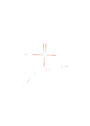 O=P(O)(O)O.[Cl][K].[KH]